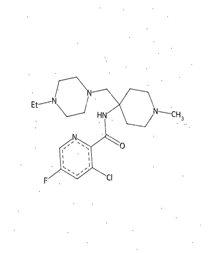 CCN1CCN(CC2(NC(=O)c3ncc(F)cc3Cl)CCN(C)CC2)CC1